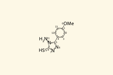 COc1ccc(-c2nnc(S)n2N)cc1